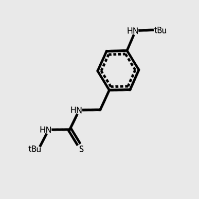 CC(C)(C)NC(=S)NCc1ccc(NC(C)(C)C)cc1